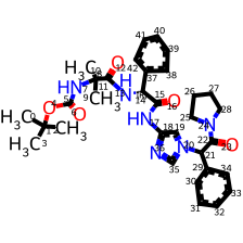 CC(C)(C)OC(=O)NC(C)(C)C(=O)N[C@@H](C(=O)Nc1cn(C(C(=O)N2CCCC2)c2ccccc2)cn1)c1ccccc1